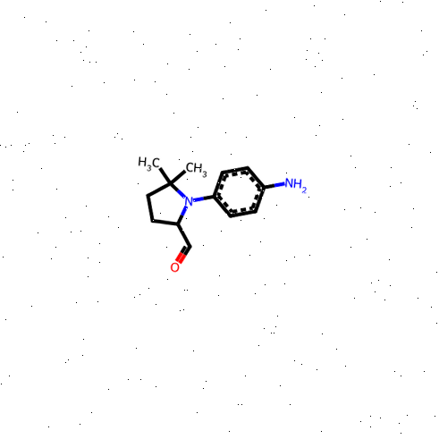 CC1(C)CCC(C=O)N1c1ccc(N)cc1